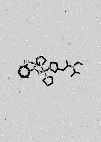 CCN(C(C)C)C(C)CC1CCN([PH](ON2NNc3ccccc32)(N2CCCC2)N2CCCC2)C1